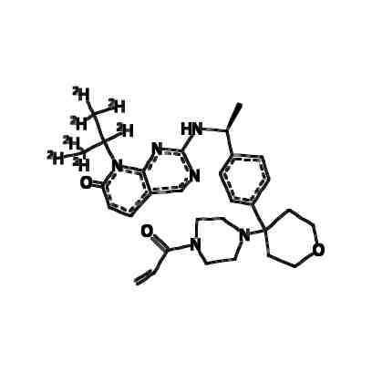 [2H]C([2H])([2H])C([2H])(n1c(=O)ccc2cnc(N[C@@H](C)c3ccc(C4(N5CCN(C(=O)C=C)CC5)CCOCC4)cc3)nc21)C([2H])([2H])[2H]